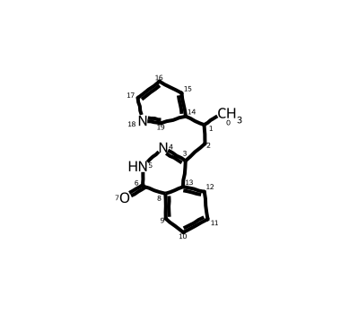 CC(Cc1n[nH]c(=O)c2ccccc12)c1cccnc1